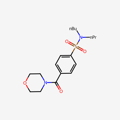 CCCCN(CCC)S(=O)(=O)c1ccc(C(=O)N2CCOCC2)cc1